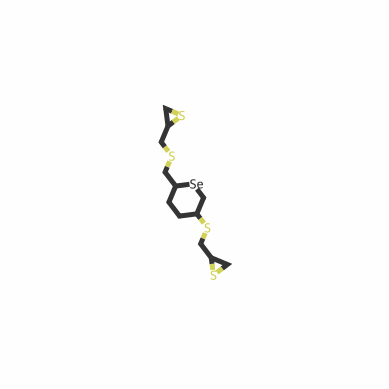 C1CC(CSCC2CS2)[Se]CC1SCC1CS1